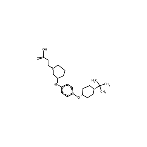 CC(C)(C)[C@H]1CC[C@H](Oc2ccc(NC3CCCN(CCC(=O)O)C3)cc2)CC1